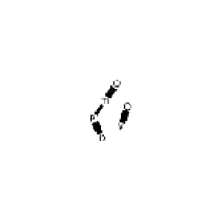 O=[P][Ti]=[O].[O]=[V]